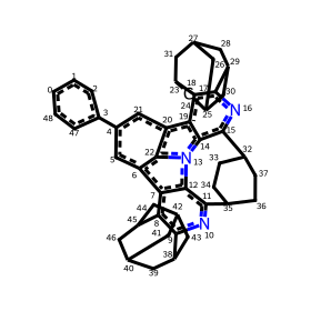 c1ccc(-c2cc3c4c5c(nc6c4n4c7c(nc8c(c7c(c2)c34)C2CC3CC(CC8C3)C2)C2CCC6CC2)C2CC3CC(C2)CC5C3)cc1